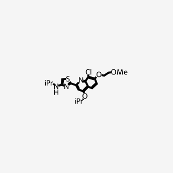 COCCOc1ccc2c(OC(C)C)cc(-c3nc(NC(C)C)cs3)nc2c1Cl